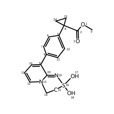 COC(=O)C1(c2ccc(C3=CC=CN4CCS(O)(O)N=C34)cc2)CC1